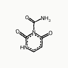 NC(=O)n1c(=O)cc[nH]c1=O